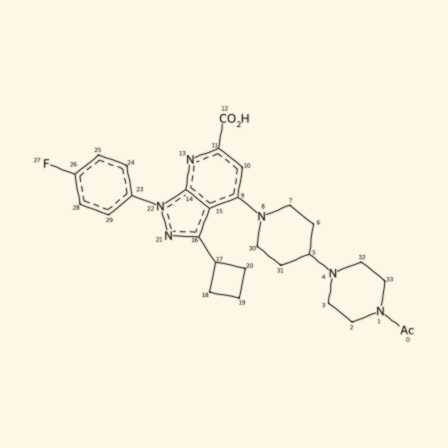 CC(=O)N1CCN(C2CCN(c3cc(C(=O)O)nc4c3c(C3CCC3)nn4-c3ccc(F)cc3)CC2)CC1